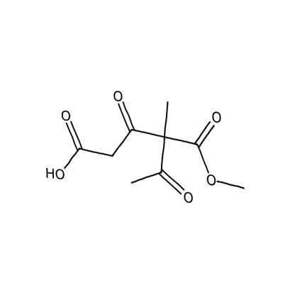 COC(=O)C(C)(C(C)=O)C(=O)CC(=O)O